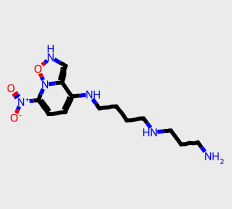 NCCCNCCCCNC1=CC=C([N+](=O)[O-])N2ONC=C12